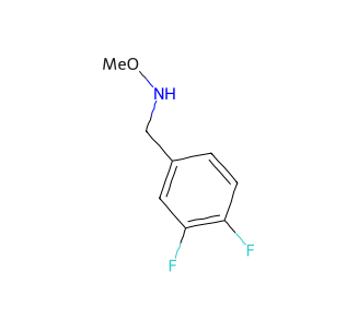 CONCc1ccc(F)c(F)c1